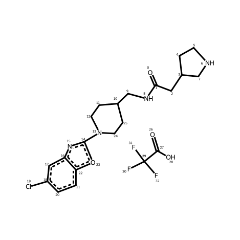 O=C(CC1CCNC1)NCC1CCN(c2nc3cc(Cl)ccc3o2)CC1.O=C(O)C(F)(F)F